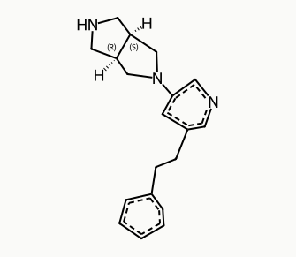 c1ccc(CCc2cncc(N3C[C@H]4CNC[C@H]4C3)c2)cc1